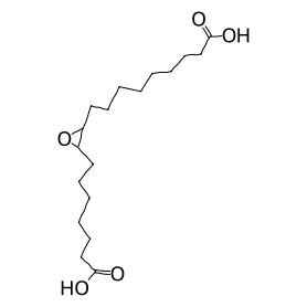 O=C(O)CCCCCCCCC1OC1CCCCCCC(=O)O